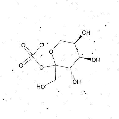 O=S(=O)(Cl)OC1(CO)OC[C@@H](O)[C@@H](O)[C@@H]1O